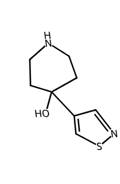 OC1(c2cnsc2)CCNCC1